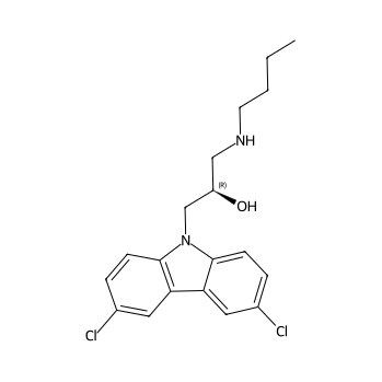 CCCCNC[C@@H](O)Cn1c2ccc(Cl)cc2c2cc(Cl)ccc21